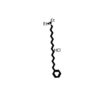 CCN(CC)CCCCCCCCCCCCCCc1ccccc1.Cl